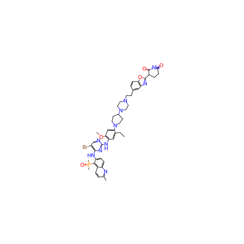 CCc1cc(Nc2ncc(Br)c(Nc3ccc4nc(C)ccc4c3P(C)(C)=O)n2)c(OC)cc1N1CCC(N2CCN(CCc3ccc4oc(C5CCC(=O)NC5=O)nc4c3)CC2)CC1